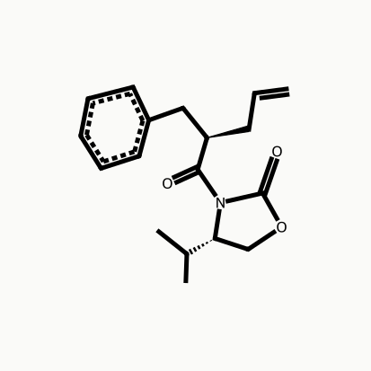 C=CC[C@H](Cc1ccccc1)C(=O)N1C(=O)OC[C@@H]1C(C)C